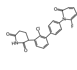 O=C1CCC(c2cccc(-c3ccc(-n4c(F)cccc4=O)cc3)c2Cl)C(=O)N1